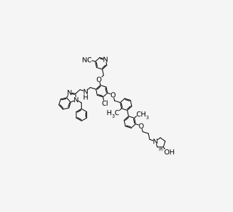 Cc1c(COc2cc(OCc3cncc(C#N)c3)c(CNCc3nc4ccccc4n3Cc3ccccc3)cc2Cl)cccc1-c1cccc(OCCCN2CC[C@@H](O)C2)c1C